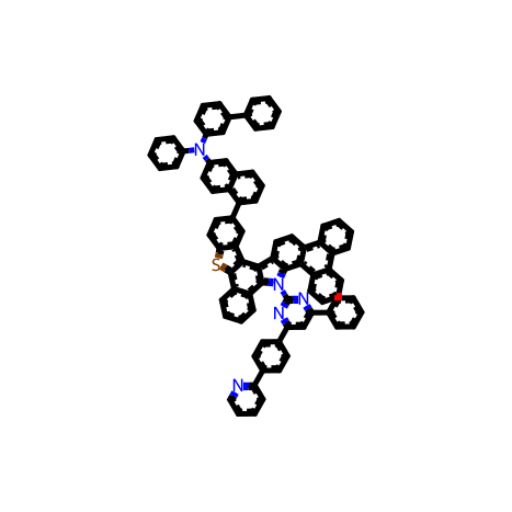 c1ccc(-c2cccc(N(c3ccccc3)c3ccc4c(-c5ccc6sc7c8ccccc8c8c(c9ccc%10c%11ccccc%11c%11ccccc%11c%10c9n8-c8nc(-c9ccccc9)cc(-c9ccc(-c%10ccccn%10)cc9)n8)c7c6c5)cccc4c3)c2)cc1